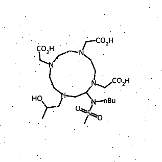 CCCCN(C1CN(CC(C)O)CCN(CC(=O)O)CCN(CC(=O)O)CCN1CC(=O)O)S(C)(=O)=O